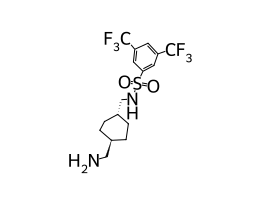 NC[C@H]1CC[C@H](CNS(=O)(=O)c2cc(C(F)(F)F)cc(C(F)(F)F)c2)CC1